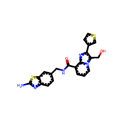 Nc1nc2ccc(CNC(=O)c3cccn4c(CO)c(-c5ccsc5)nc34)cc2s1